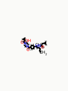 C=C/C=C(\C=C(/C)c1ccc(C(=O)N2CCN(C(=O)C3(O)CC3)CC2)cc1)NC(=O)CC1CC1